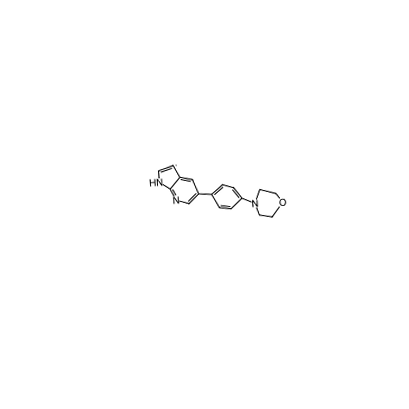 [c]1c[nH]c2ncc(-c3ccc(N4CCOCC4)cc3)cc12